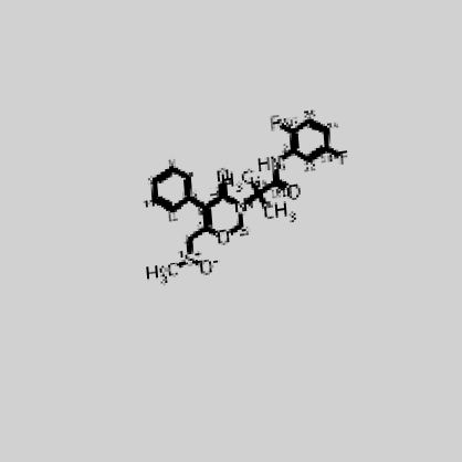 C[S+]([O-])CC1=C(c2ccccc2)C(=O)N(C(C)(C)C(=O)Nc2cc(F)ccc2F)CO1